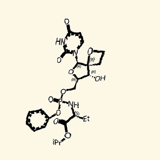 CC[C@H](NP(=O)(OC[C@H]1O[C@@H](n2ccc(=O)[nH]c2=O)[C@@]2(CCO2)[C@@H]1O)Oc1ccccc1)C(=O)OC(C)C